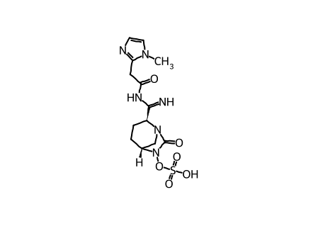 Cn1ccnc1CC(=O)NC(=N)[C@@H]1CC[C@@H]2CN1C(=O)N2OS(=O)(=O)O